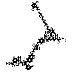 Cc1cccc(-c2nc(CNc3cccc(C(=O)O)c3Cl)[nH]c2-c2ccc3ncc(OCCNC(=O)OCc4ccc(NC(=O)C(CCCNC(N)=O)NC(=O)C(NC(=O)CCOCCOCCOCCOCCN5C(=O)C=CC5=O)C(C)C)cc4)cc3c2)n1